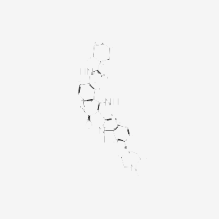 CN1CCN(c2ccc3nc(-c4c(N)c5cc(NC(=O)C6CCCCC6)ccc5[nH]c4=O)[nH]c3c2)CC1